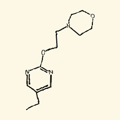 CCc1cnc(OCCN2CCOCC2)nc1